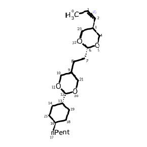 C/C=C\[C@H]1CO[C@H](CCC2COC([C@H]3CC[C@H](CCCCC)CC3)OC2)OC1